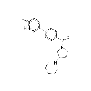 O=C(c1ccc(-c2ccc(=O)[nH]n2)cc1)N1CCC(N2CCCCC2)C1